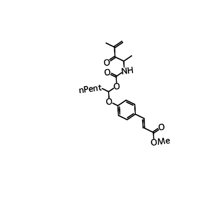 C=C(C)C(=O)C(C)NC(=O)OC(CCCCC)Oc1ccc(/C=C/C(=O)OC)cc1